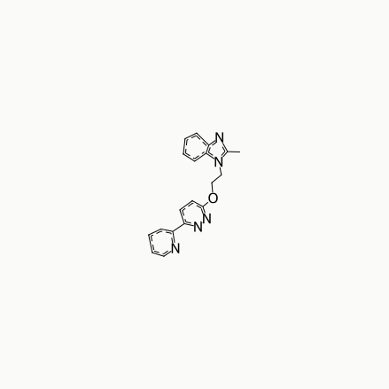 Cc1nc2ccccc2n1CCOc1ccc(-c2ccccn2)nn1